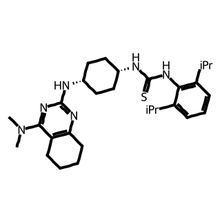 CC(C)c1cccc(C(C)C)c1NC(=S)N[C@H]1CC[C@@H](Nc2nc3c(c(N(C)C)n2)CCCC3)CC1